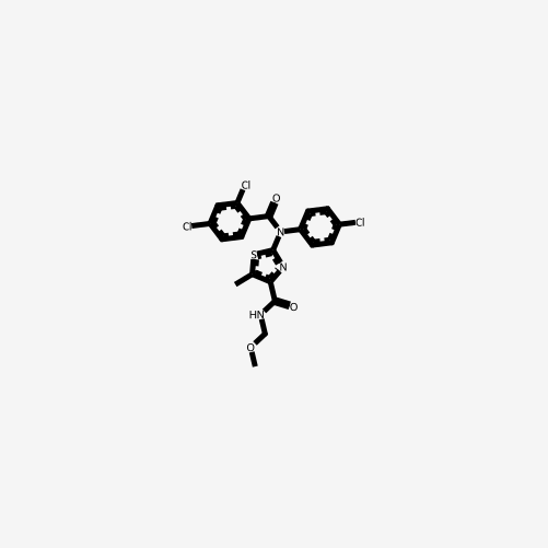 COCNC(=O)c1nc(N(C(=O)c2ccc(Cl)cc2Cl)c2ccc(Cl)cc2)sc1C